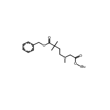 CN(CCC(C)(C)C(=O)OCc1ccccc1)CC(=O)OC(C)(C)C